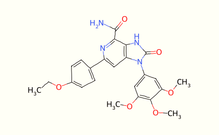 CCOc1ccc(-c2cc3c([nH]c(=O)n3-c3cc(OC)c(OC)c(OC)c3)c(C(N)=O)n2)cc1